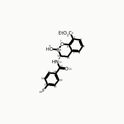 CCOC(=O)c1cccc2c1OB(O)[C@@H](NC(=O)c1ccc(F)cc1)C2